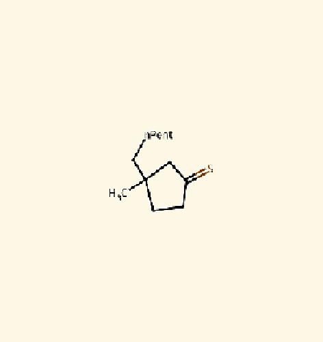 CCCCCCC1(C)CCC(=S)C1